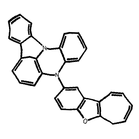 C1=CCc2oc3ccc(N4c5ccccc5-n5c6ccccc6c6cccc4c65)cc3c2C=C1